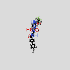 CCc1ccc(-c2ccc(C(=O)NCCN(O)C(=O)N3CCC(NC(=O)C(F)(F)F)C3)cc2)cc1